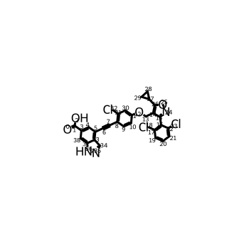 O=C(O)c1cc(C#Cc2ccc(OCc3c(-c4c(Cl)cccc4Cl)noc3C3CC3)cc2Cl)c2cn[nH]c2c1